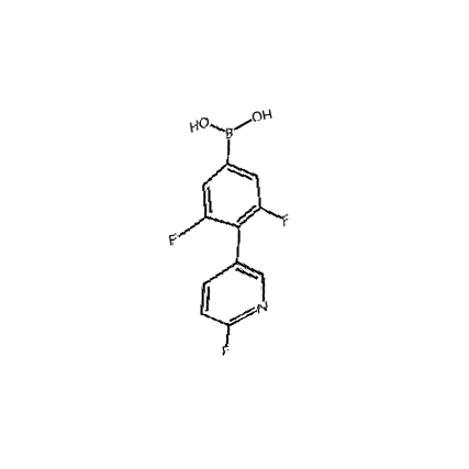 OB(O)c1cc(F)c(-c2ccc(F)nc2)c(F)c1